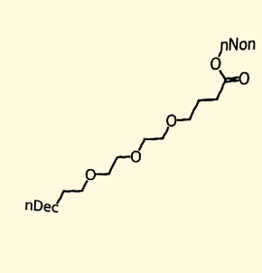 CCCCCCCCCCCCOCCOCCOCCCC(=O)OCCCCCCCCC